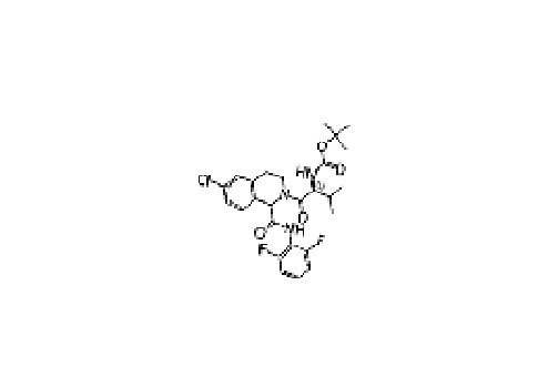 CC(C)[C@H](NC(=O)OC(C)(C)C)C(=O)N1CCc2cc(Cl)ccc2C1C(=O)Nc1c(F)cccc1F